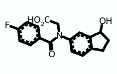 O=C(O)CN(C(=O)c1ccc(F)cc1)c1ccc2c(c1)C(O)CC2